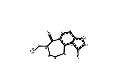 O=C1c2ccc3[nH]nc(F)c3c2CCCC1CC(F)(F)F